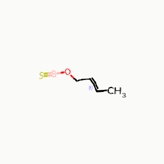 C/C=C/COB=S